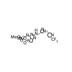 COC(=O)CCN(C)c1nc(NCc2cnn(Cc3ccc(C(F)(F)F)nc3)c2)nc2ccn(C(=O)OC(C)(C)C)c12